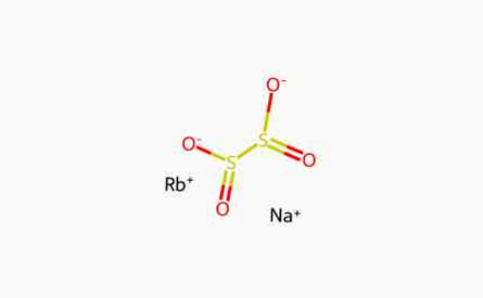 O=S([O-])S(=O)[O-].[Na+].[Rb+]